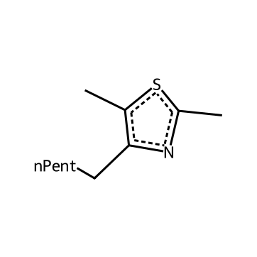 CCCCCCc1nc(C)sc1C